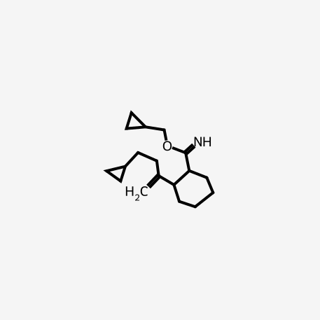 C=C(CCC1CC1)C1CCCCC1C(=N)OCC1CC1